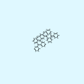 c1ccc(N2c3ccccc3B3c4cc5c(cc4Oc4cccc2c43)Oc2cccc3c2B5c2ccccc2N3c2ccccc2)cc1